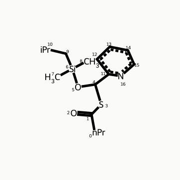 CCCC(=O)SC(O[Si](C)(C)CC(C)C)c1ccccn1